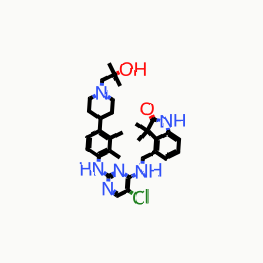 Cc1c(Nc2ncc(Cl)c(NCc3cccc4c3C(C)(C)C(=O)N4)n2)ccc(C2CCN(CC(C)(C)O)CC2)c1C